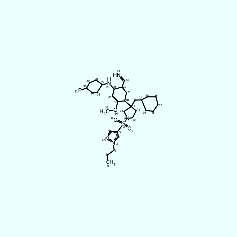 CCCn1cc(S(=O)(=O)N2CCC(CC3CCCCC3)(C3CC(C=N)C(NC4CCC(F)CC4)CC3OC)C2)cn1